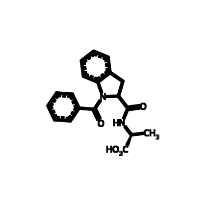 C[C@H](NC(=O)C1Cc2ccccc2N1C(=O)c1ccccc1)C(=O)O